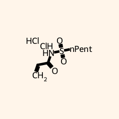 C=CC(=O)NS(=O)(=O)CCCCC.Cl.Cl